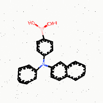 OB(O)c1ccc(N(c2ccccc2)c2ccc3ccccc3c2)cc1